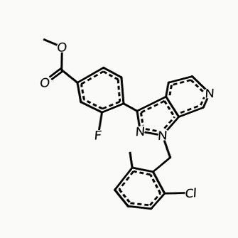 COC(=O)c1ccc(-c2nn(Cc3c(C)cccc3Cl)c3cnccc23)c(F)c1